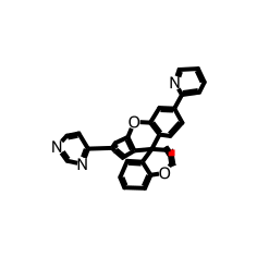 C1=CC2Oc3ccccc3C3(c4ccc(-c5ccccn5)cc4Oc4cc(-c5ccncn5)ccc43)C2C=C1